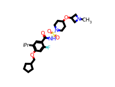 CC(C)c1cc(C(=O)NS(=O)(=O)N2CCC(OC3CN(C)C3)CC2)c(F)cc1OCC1CCCC1